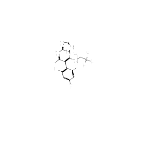 Cc1nc2ncnn2c(NCC(F)(F)F)c1-c1c(F)cc(F)cc1F